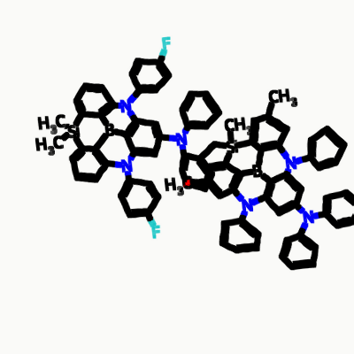 Cc1cc2c3c(c1)[Si](C)(Cc1ccccc1N(c1ccccc1)c1cc4c5c(c1)N(c1ccc(F)cc1)c1cccc6c1B5c1c(cccc1[Si]6(C)C)N4c1ccc(F)cc1)c1cc(C)cc4c1B3c1c(cc(N(c3ccccc3)c3ccccc3)cc1N4c1ccccc1)N2c1ccccc1